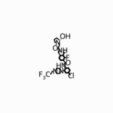 O=C(CN1CCC[C@@H]1CO)NCc1ccc(C(=O)Nc2ccc(Cl)cc2N2CCN(CCC(F)(F)F)CC2)c(F)c1F